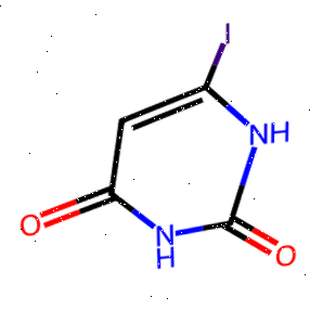 O=c1cc(I)[nH]c(=O)[nH]1